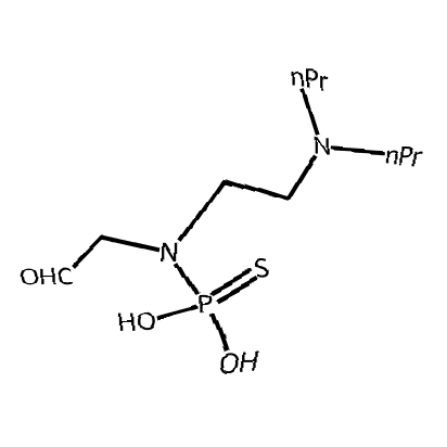 CCCN(CCC)CCN(CC=O)P(O)(O)=S